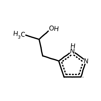 CC(O)Cc1c[c]n[nH]1